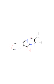 CC(C)c1cnc2c(O)c(CN3CCOCC3)ccn2c1=O